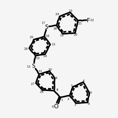 O=C(c1ccccc1)c1ccc(Sc2ccc(Sc3ccc(F)cc3)cc2)cc1